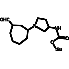 CC(C)(C)OC(=O)NC1CCN(C2CCCCC(C=O)C2)C1